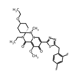 CCO[C@H]1CC[C@@]2(CC1)N(CC)C(=O)c1c(OC)c(=O)c(-c3nnc(Cc4ccc(F)cc4F)s3)cn1N2C